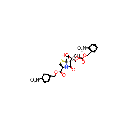 C[C@@H](O)[C@@]1(COC(=O)OCc2ccccc2[N+](=O)[O-])C(=O)N2C(C(=O)OCc3ccc([N+](=O)[O-])cc3)=CS[C@@H]21